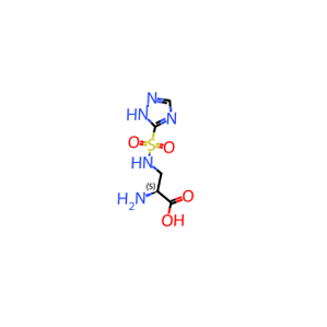 N[C@@H](CNS(=O)(=O)c1ncn[nH]1)C(=O)O